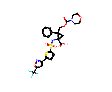 O=C(OCC1(c2ccccc2)C[C@]1(NS(=O)(=O)c1ccc(-c2cc(C(F)(F)F)on2)s1)C(=O)O)N1CCOCC1